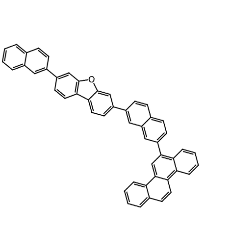 c1ccc2cc(-c3ccc4c(c3)oc3cc(-c5ccc6ccc(-c7cc8c9ccccc9ccc8c8ccccc78)cc6c5)ccc34)ccc2c1